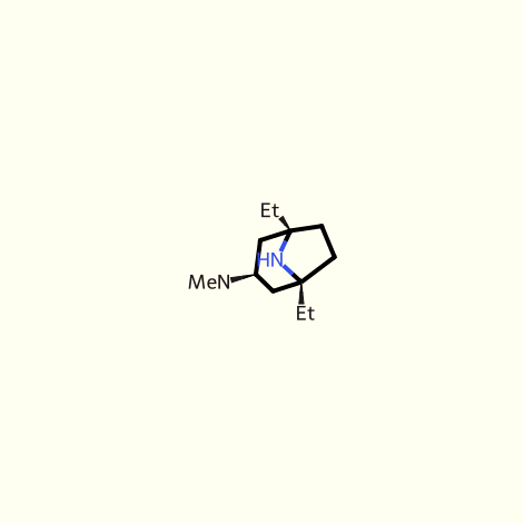 CC[C@]12CC[C@](CC)(C[C@@H](NC)C1)N2